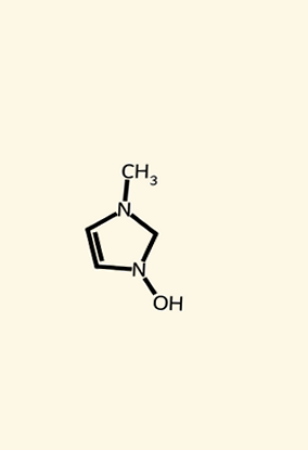 CN1C=CN(O)C1